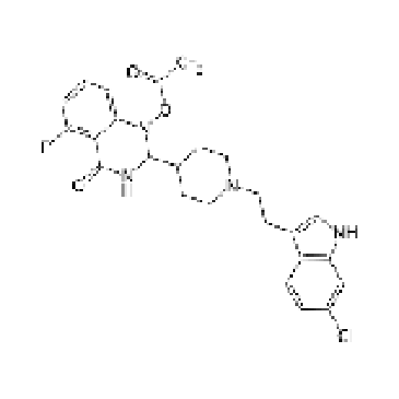 O=C1NC(C2CCN(CCc3c[nH]c4cc(Cl)ccc34)CC2)N(OC(=O)C(F)(F)F)c2cccc(F)c21